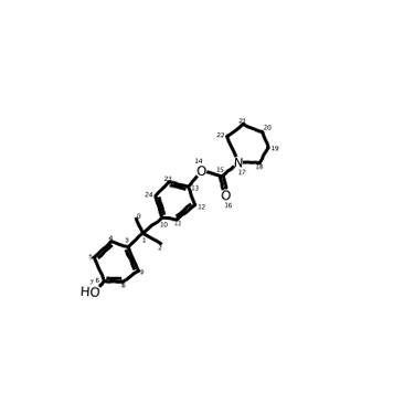 CC(C)(c1ccc(O)cc1)c1ccc(OC(=O)N2CCCCC2)cc1